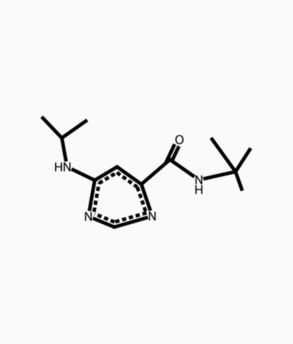 CC(C)Nc1cc(C(=O)NC(C)(C)C)ncn1